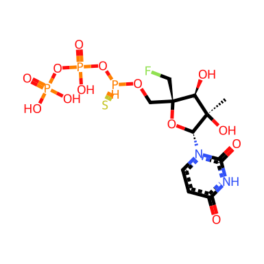 C[C@@]1(O)[C@H](O)[C@@](CF)(CO[PH](=S)OP(=O)(O)OP(=O)(O)O)O[C@H]1n1ccc(=O)[nH]c1=O